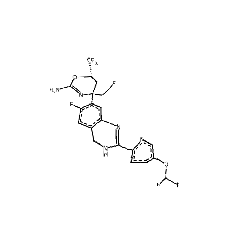 NC1=NC(CF)(c2cc3c(cc2F)CNC(c2ccc(OC(F)F)cn2)=N3)C[C@@H](C(F)(F)F)O1